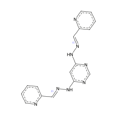 C(=N\Nc1cc(N/N=C/c2ccccn2)ncn1)/c1ccccn1